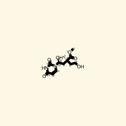 COC(=O)[C@@](C)(CCO)C[C@H](O)n1ccc(=O)[nH]c1=O